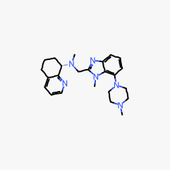 CN1CCN(c2cccc3nc(CN(C)[C@H]4CCCc5cccnc54)n(C)c23)CC1